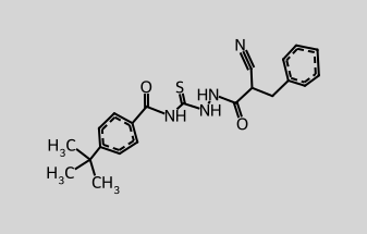 CC(C)(C)c1ccc(C(=O)NC(=S)NNC(=O)C(C#N)Cc2ccccc2)cc1